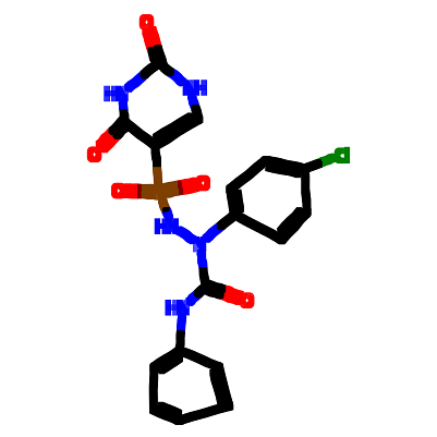 O=C(Nc1ccccc1)N(NS(=O)(=O)c1c[nH]c(=O)[nH]c1=O)c1ccc(Cl)cc1